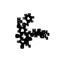 COc1cc2c(cc1OCc1ccccc1)N(COCC[Si](C)(C)C)C(=O)[C@]1(N)CC(=O)CN1C2=O